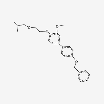 COc1cc(-c2ccc(OCc3ccccc3)cc2)ccc1OCCOCC(C)C